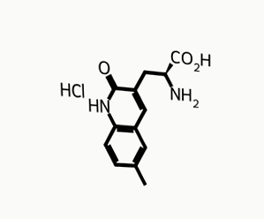 Cc1ccc2[nH]c(=O)c(C[C@H](N)C(=O)O)cc2c1.Cl